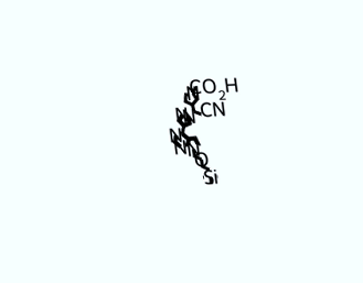 C[Si](C)(C)CCOCn1ccc2c(-c3cnn(C(CC#N)C4CCN(C(=O)O)C4)c3)ncnc21